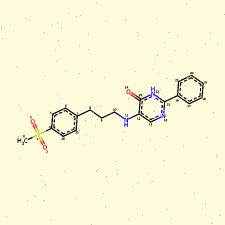 CS(=O)(=O)c1ccc(CCCNc2cnc(-c3ccccc3)[nH]c2=O)cc1